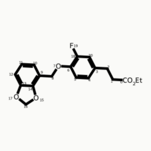 CCOC(=O)CCc1ccc(OCc2cccc3c2OCO3)c(F)c1